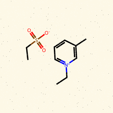 CCS(=O)(=O)[O-].CC[n+]1cccc(C)c1